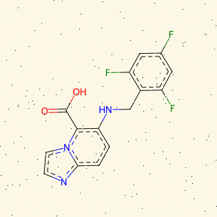 O=C(O)c1c(NCc2c(F)cc(F)cc2F)ccc2nccn12